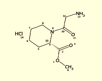 COC(=O)[C@@H]1CCCCN1C(=O)CN.Cl